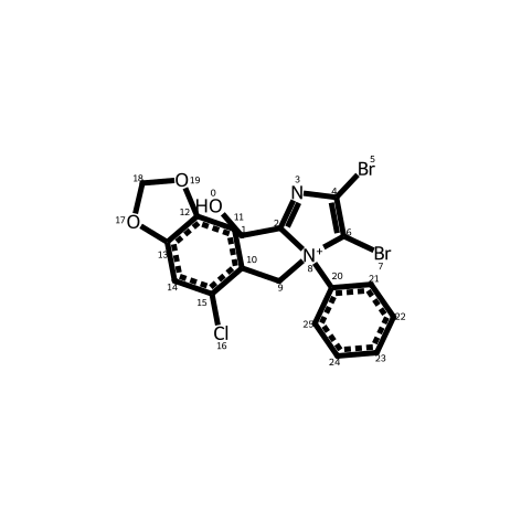 OCC1=NC(Br)=C(Br)[N+]1(Cc1cc2c(cc1Cl)OCO2)c1ccccc1